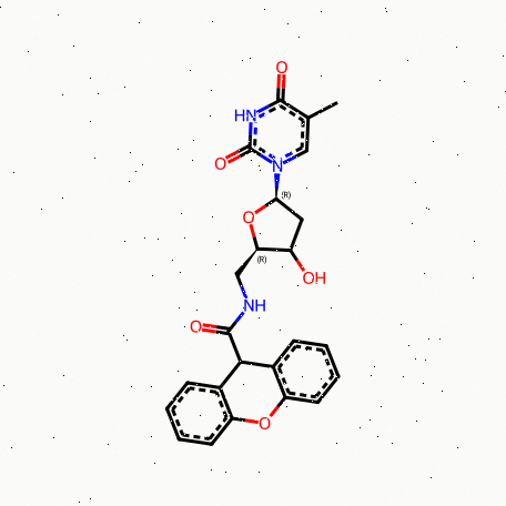 Cc1cn([C@H]2CC(O)[C@@H](CNC(=O)C3c4ccccc4Oc4ccccc43)O2)c(=O)[nH]c1=O